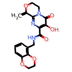 C=C1OCCn2c1nc(C(=O)NCc1cccc3c1OCCO3)c(O)c2=O